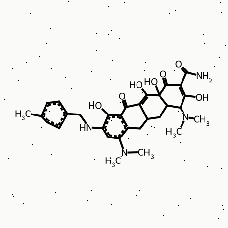 Cc1ccc(CNc2cc(N(C)C)c3c(c2O)C(=O)C2=C(O)C4(O)C(=O)C(C(N)=O)=C(O)C(N(C)C)C4CC2C3)cc1